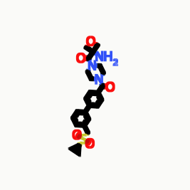 NC1(C(=O)N2CCN(C(=O)c3ccc(-c4cccc(CS(=O)(=O)C5CC5)c4)cc3)CC2)COC1